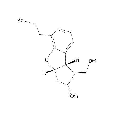 CC(=O)CCc1cccc2c1O[C@H]1C[C@@H](O)[C@H](CO)[C@@H]21